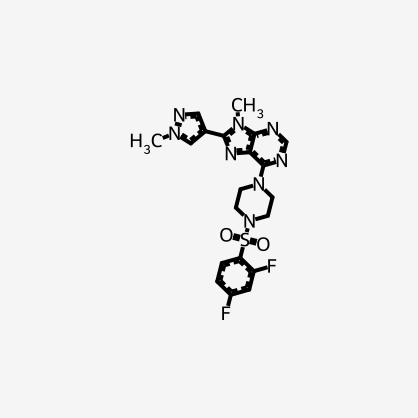 Cn1cc(-c2nc3c(N4CCN(S(=O)(=O)c5ccc(F)cc5F)CC4)ncnc3n2C)cn1